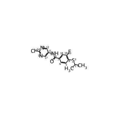 CC(C)Sc1ccc(C(=O)Nc2cnc(Cl)nc2)cc1F